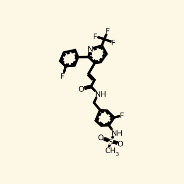 CS(=O)(=O)Nc1ccc(CNC(=O)C=Cc2ccc(C(F)(F)F)nc2-c2cccc(F)c2)cc1F